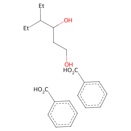 CCC(CC)C(O)CCO.O=C(O)c1ccccc1.O=C(O)c1ccccc1